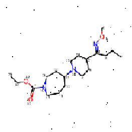 CCCC(=NOC)C1CCN([C@H]2CCCN(C(=O)OCC)CC2)CC1